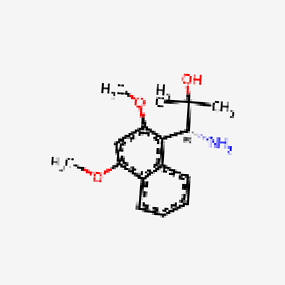 COc1cc(OC)c2ccccc2c1[C@@H](N)C(C)(C)O